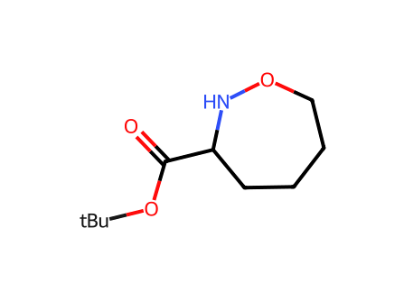 CC(C)(C)OC(=O)C1CCCCON1